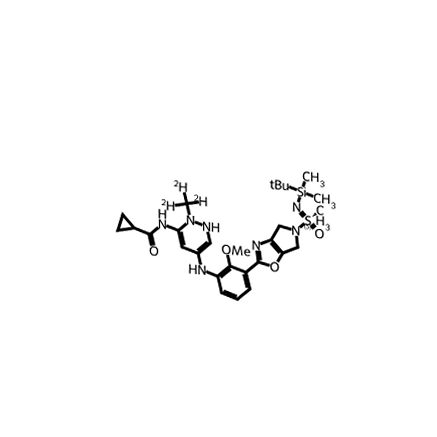 [2H]C([2H])([2H])N1NC=C(Nc2cccc(-c3nc4c(o3)CN([S@](C)(=O)=N[Si](C)(C)C(C)(C)C)C4)c2OC)C=C1NC(=O)C1CC1